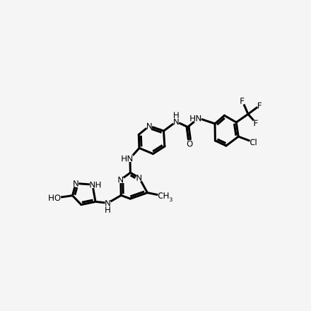 Cc1cc(Nc2cc(O)n[nH]2)nc(Nc2ccc(NC(=O)Nc3ccc(Cl)c(C(F)(F)F)c3)nc2)n1